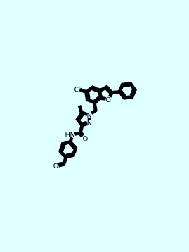 Cc1cc(C(=O)Nc2ccc(C=O)cc2)nn1Cc1cc(Cl)cc2cc(-c3ccccc3)oc12